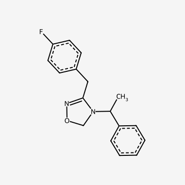 CC(c1ccccc1)N1CON=C1Cc1ccc(F)cc1